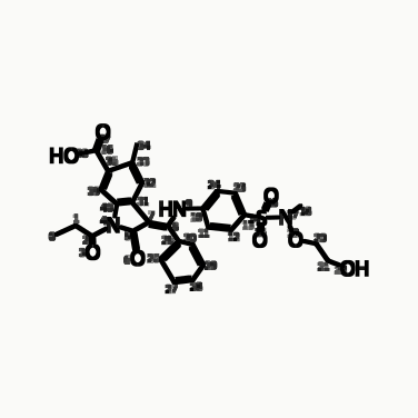 CCC(=O)N1C(=O)C(=C(Nc2ccc(S(=O)(=O)N(C)OCCO)cc2)c2ccccc2)c2cc(C)c(C(=O)O)cc21